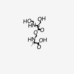 C[C@H](NCOC(=O)[C@H](CO)NCO)C(=O)O